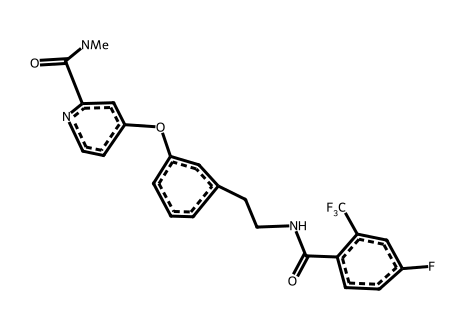 CNC(=O)c1cc(Oc2cccc(CCNC(=O)c3ccc(F)cc3C(F)(F)F)c2)ccn1